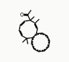 CC(=O)C1(C)/C=C\C=C/C(C)(C)c2ccccccccc2/C=C\1C